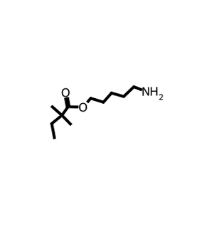 CCC(C)(C)C(=O)OCCCCCN